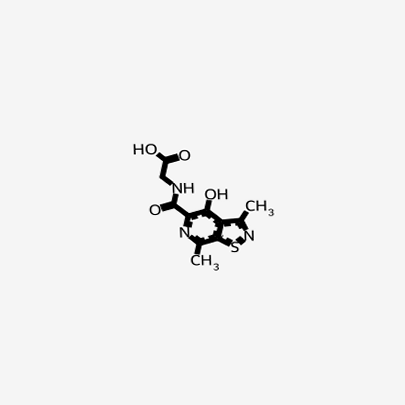 Cc1nc(C(=O)NCC(=O)O)c(O)c2c(C)nsc12